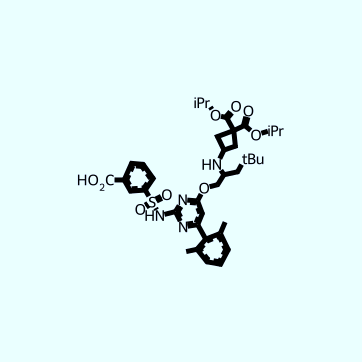 Cc1cccc(C)c1-c1cc(OCC(CC(C)(C)C)NC2CC(C(=O)OC(C)C)(C(=O)OC(C)C)C2)nc(NS(=O)(=O)c2cccc(C(=O)O)c2)n1